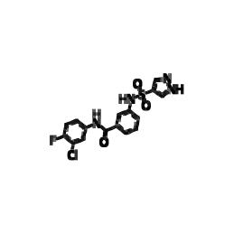 O=C(Nc1ccc(F)c(Cl)c1)c1cccc(NS(=O)(=O)c2cn[nH]c2)c1